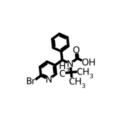 CC(C)(C)N(C(=O)O)C(c1ccccc1)c1ccc(Br)nc1